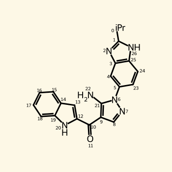 CC(C)c1nc2cc(-n3ncc(C(=O)c4cc5ccccc5[nH]4)c3N)ccc2[nH]1